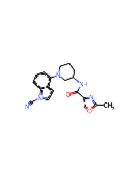 Cc1nc(C(=O)N[C@@H]2CCCN(c3cccc4c3ccn4C#N)C2)co1